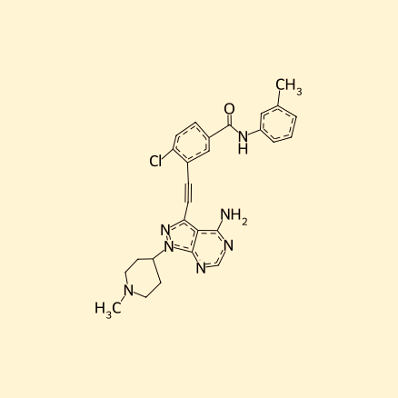 Cc1cccc(NC(=O)c2ccc(Cl)c(C#Cc3nn(C4CCN(C)CC4)c4ncnc(N)c34)c2)c1